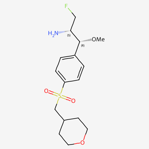 CO[C@H](c1ccc(S(=O)(=O)CC2CCOCC2)cc1)[C@H](N)CF